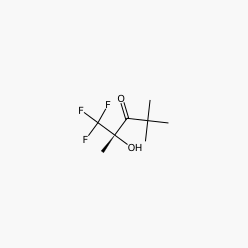 CC(C)(C)C(=O)[C@](C)(O)C(F)(F)F